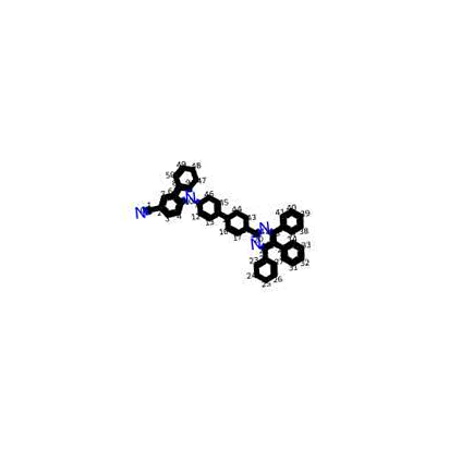 N#Cc1ccc2c(c1)c1c(n2C2C=CC(C3C=CC(c4nc(C5=CCCC=C5)c(-c5ccccc5)c(-c5ccccc5)n4)CC3)=CC2)CCC=C1